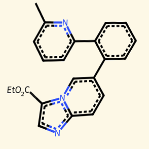 CCOC(=O)c1cnc2ccc(-c3ccccc3-c3cccc(C)n3)cn12